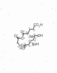 CCCCCCCCCCCC(=O)OC(=O)[C@@H](N)CCC(=O)O.OCCOCCO.[NaH]